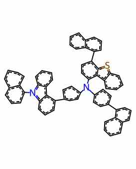 c1ccc2c(-c3ccc(N(c4ccc(-c5cccc6c5c5ccccc5n6-c5cccc6ccccc56)cc4)c4ccc(-c5cccc6ccccc56)c5sc6ccccc6c45)cc3)cccc2c1